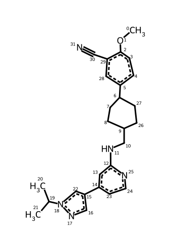 COc1ccc(C2CCC(CNc3cc(-c4cnn(C(C)C)c4)ccn3)CC2)cc1C#N